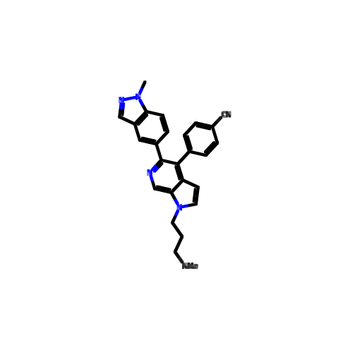 CNCCCn1ccc2c(-c3ccc(C#N)cc3)c(-c3ccc4c(cnn4C)c3)ncc21